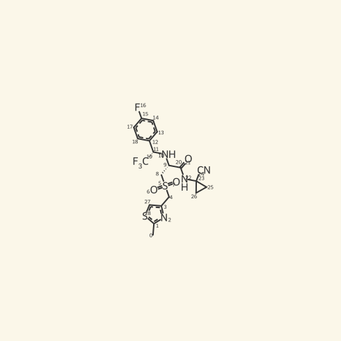 Cc1nc(CS(=O)(=O)C[C@H](N[C@@H](c2ccc(F)cc2)C(F)(F)F)C(=O)NC2(C#N)CC2)cs1